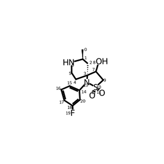 C[C@H]1C[C@]2(CCN1)C(O)CS(=O)(=O)N2c1cccc(F)c1